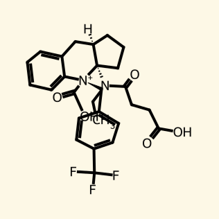 CCN(C(=O)CCC(=O)O)[C@@]12CCC[C@@H]1Cc1ccccc1[N@@+]2(Cc1ccc(C(F)(F)F)cc1)C(=O)O